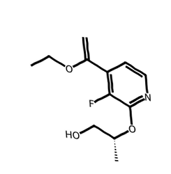 C=C(OCC)c1ccnc(O[C@H](C)CO)c1F